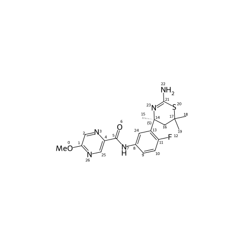 COc1cnc(C(=O)Nc2ccc(F)c([C@]3(C)CC(C)(C)SC(N)=N3)c2)cn1